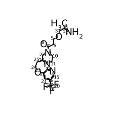 C[C@@H](N)COCCC(=O)N1CCN2c3ncc(C(F)(F)F)cc3OCCC2C1